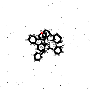 c1ccc(-c2nc(-c3ccccc3)nc(-c3cccc4oc5ccc6c7cccc(-n8c9ccccc9c9ccccc98)c7oc6c5c34)n2)cc1